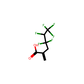 C=C(CC(F)(F)C(F)C(F)(F)F)C(=O)O